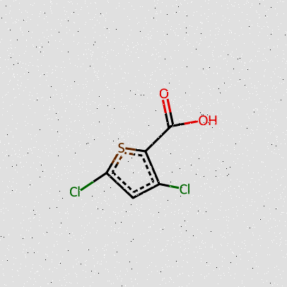 O=C(O)c1sc(Cl)cc1Cl